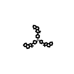 CC1(C)C(c2ccc(N(c3ccc(C4=Cc5c(ccc6ccccc56)C4(C)C)cc3)c3ccc(C4=Cc5c(ccc6ccccc56)C4(C)C)cc3)cc2)=Cc2c1ccc1ccccc21